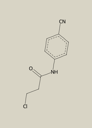 N#Cc1ccc(NC(=O)CCCl)cc1